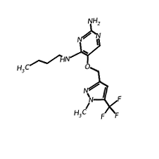 CCCCNc1nc(N)ncc1OCc1cc(C(F)(F)F)n(C)n1